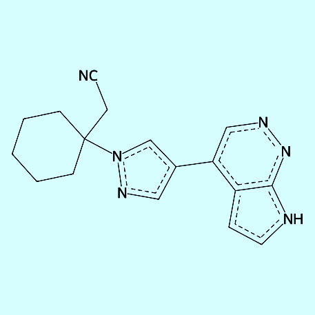 N#CCC1(n2cc(-c3cnnc4[nH]ccc34)cn2)CCCCC1